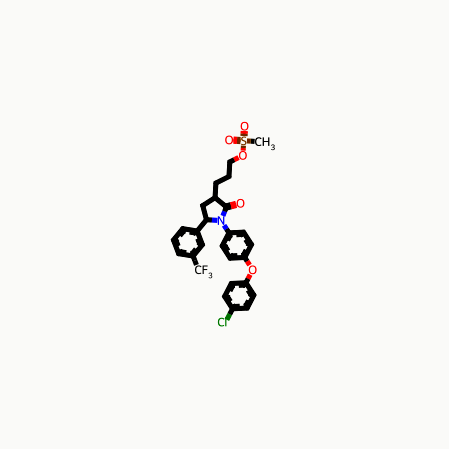 CS(=O)(=O)OCCCC1CC(c2cccc(C(F)(F)F)c2)N(c2ccc(Oc3ccc(Cl)cc3)cc2)C1=O